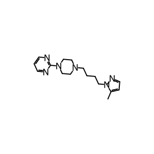 Cc1ccnn1CCCCN1CCN(c2ncccn2)CC1